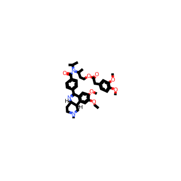 CCOc1cc2c(cc1OC)C(c1ccc(C(=O)N(C(C)C)C(C)CCOC(=O)Cc3ccc(OC)c(OC)c3)cc1)=N[C@@H]1CCN(C)C[C@H]21